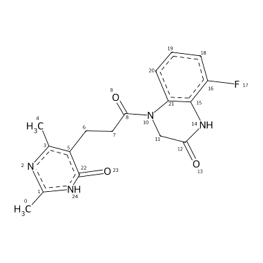 Cc1nc(C)c(CCC(=O)N2CC(=O)Nc3c(F)cccc32)c(=O)[nH]1